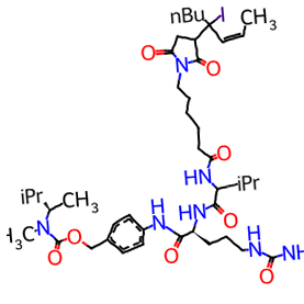 C/C=C\C(I)(CCCC)C1CC(=O)N(CCCCCC(=O)NC(C(=O)N[C@@H](CCCNC(N)=O)C(=O)Nc2ccc(COC(=O)N(C)[C@H](C)C(C)C)cc2)C(C)C)C1=O